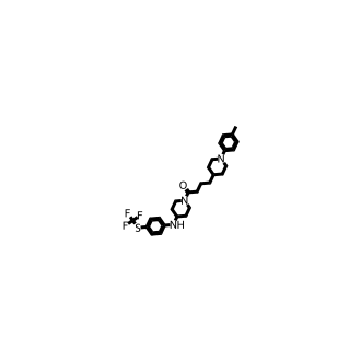 Cc1ccc(N2CCC(CCCC(=O)N3CCC(Nc4ccc(SC(F)(F)F)cc4)CC3)CC2)cc1